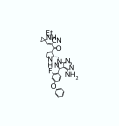 CCNC1(C=C(C#N)C(=O)C2CCN[C@H]2Cn2nc(-c3ccc(Oc4ccccc4)cc3F)c3c(N)ncnc32)CC1